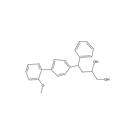 COc1ccccc1-c1ccc(C(CC(O)CO)c2ccccc2)cc1